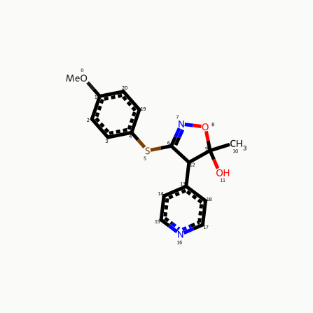 COc1ccc(SC2=NOC(C)(O)C2c2ccncc2)cc1